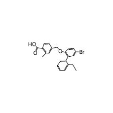 CCc1ccccc1-c1cc(Br)ccc1OCc1ccc(C(=O)O)c(C)c1